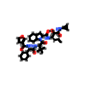 CCC[C@H](NC(=O)[C@@H]1CC2CCCCC2N1C(=O)[C@@H](NC(=O)[C@@H](NC(=O)c1ccoc1)C1CCCCC1)C(C)(C)C)C(=O)C(=O)NC1CC1